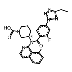 CCc1nnn(-c2ccc(C(=O)N(c3nccc4cccc(C)c34)[C@@H]3CCCN(C(=O)O)C3)c(F)c2)n1